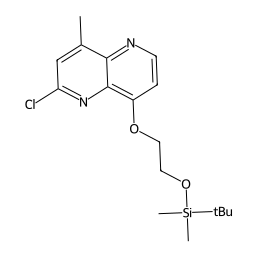 Cc1cc(Cl)nc2c(OCCO[Si](C)(C)C(C)(C)C)ccnc12